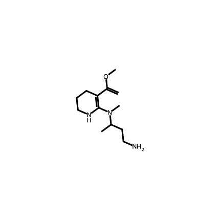 C=C(OC)C1=C(N(C)C(C)CCN)NCCC1